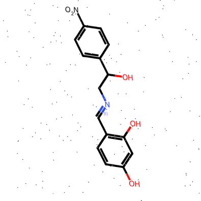 O=[N+]([O-])c1ccc(C(O)C/N=C/c2ccc(O)cc2O)cc1